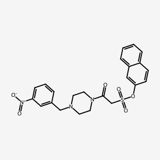 O=C(CS(=O)(=O)Oc1ccc2ccccc2c1)N1CCN(Cc2cccc([N+](=O)[O-])c2)CC1